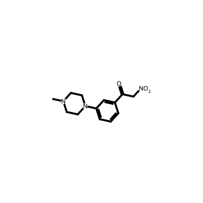 CN1CCN(c2cccc(C(=O)C[N+](=O)[O-])c2)CC1